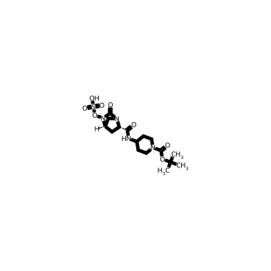 CC(C)(C)OC(=O)N1CCC(NC(=O)[C@@H]2C[C@@H]3CN2C(=O)N3OS(=O)(=O)O)CC1